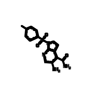 Cc1ccc(S(=O)(=O)n2ccc3c(C(N)=O)c(N)cnc32)cc1